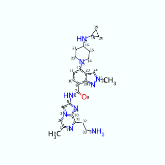 Cc1cn2cc(NC(=O)c3ccc(N4CCC(NC5CC5)CC4)c4cn(C)nc34)nc2c(CCN)n1